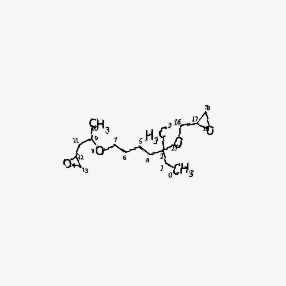 CCC(C)(CCCCOC(C)CC1CO1)OCC1CO1